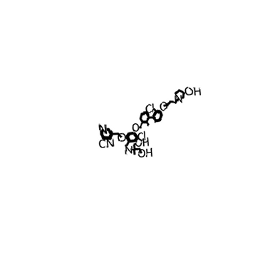 Cc1c(COc2cc(OCc3cncc(C#N)c3)c(CN(C)C(C)(CO)CO)cc2Cl)cccc1-c1cccc(OCCCN2CCC(O)C2)c1Cl